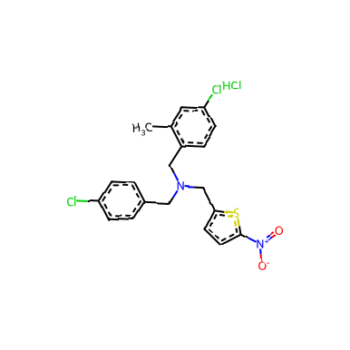 Cc1cc(Cl)ccc1CN(Cc1ccc(Cl)cc1)Cc1ccc([N+](=O)[O-])s1.Cl